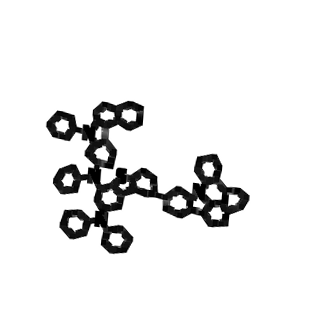 c1ccc(N(c2ccccc2)c2cc(N(c3ccccc3)c3ccc4c5c6ccccc6ccc5n(-c5ccccc5)c4c3)c3sc4ccc(-c5ccc6c7ccc8cccc9c%10ccccc%10n(c6c5)c7c89)cc4c3c2)cc1